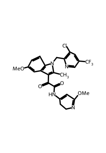 COC1=NCCC(NC(=O)C(=O)c2c(C)n(Cc3ncc(C(F)(F)F)cc3Cl)c3ccc(OC)cc23)=C1